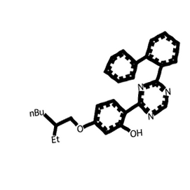 CCCCC(CC)COc1ccc(-c2ncnc(-c3ccccc3-c3ccccc3)n2)c(O)c1